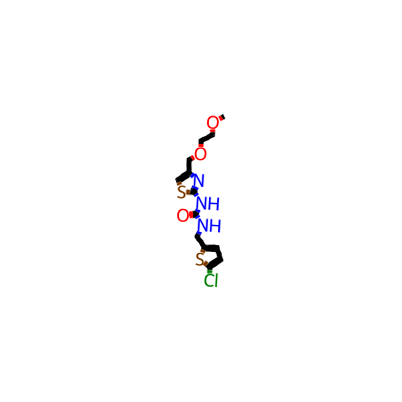 COCCOCc1csc(NC(=O)NCc2ccc(Cl)s2)n1